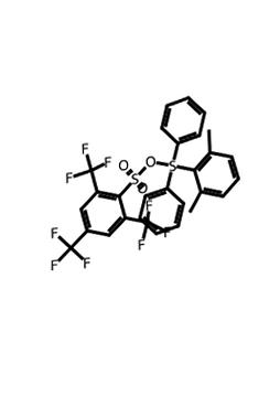 Cc1cccc(C)c1S(OS(=O)(=O)c1c(C(F)(F)F)cc(C(F)(F)F)cc1C(F)(F)F)(c1ccccc1)c1ccccc1